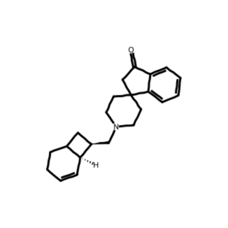 O=C1CC2(CCN(C[C@@H]3CC4CCC=C[C@@H]43)CC2)c2ccccc21